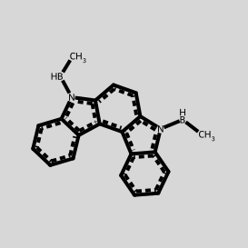 CBn1c2ccccc2c2c3c4ccccc4n(BC)c3ccc21